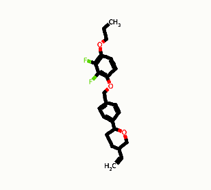 C=CC1CCC(c2ccc(COc3ccc(OCCC)c(F)c3F)cc2)OC1